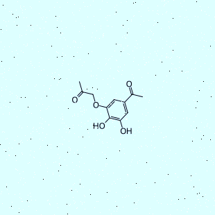 CC(=O)COc1cc(C(C)=O)cc(O)c1O